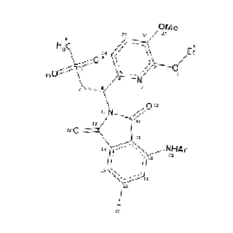 CCOc1nc([C@@H](CS(C)(=O)=O)N2C(=O)c3cc(F)cc(NC(C)=O)c3C2=O)ccc1OC